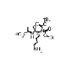 C[C@H](NC(=O)[C@@H](CCCCN)N(C(=O)OC(C)(C)C)C(=O)OC(C)(C)C)C(=O)O